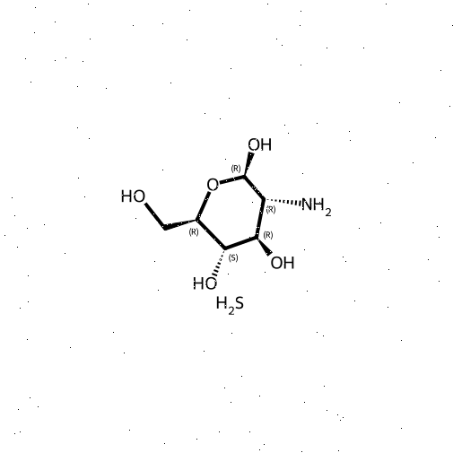 N[C@@H]1[C@@H](O)[C@H](O)[C@@H](CO)O[C@H]1O.S